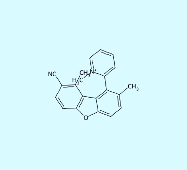 Cc1ccc2oc3ccc(C#N)c(C)c3c2c1-c1cccc[n+]1C